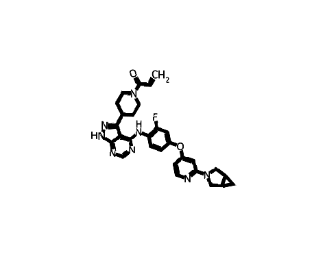 C=CC(=O)N1CCC(c2n[nH]c3ncnc(Nc4ccc(Oc5ccnc(N6CC7CC7C6)c5)cc4F)c23)CC1